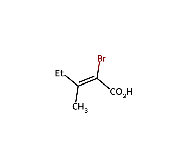 CCC(C)=C(Br)C(=O)O